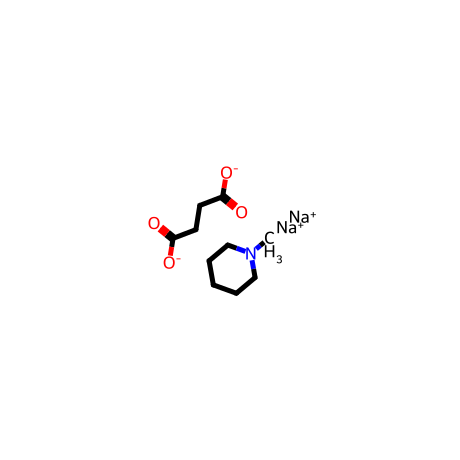 CN1CCCCC1.O=C([O-])CCC(=O)[O-].[Na+].[Na+]